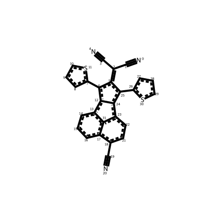 N#CC(C#N)=c1c(-c2cccs2)c2c3cccc4c(C#N)ccc(c-2c1-c1cccs1)c43